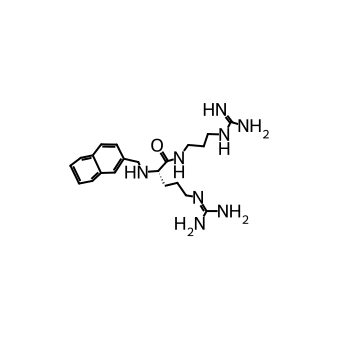 N=C(N)NCCCNC(=O)[C@H](CCCN=C(N)N)NCc1ccc2ccccc2c1